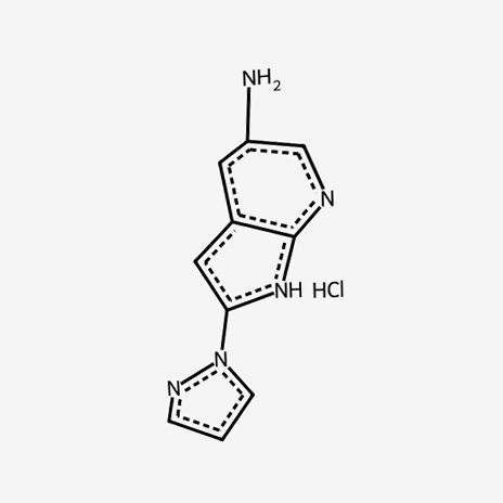 Cl.Nc1cnc2[nH]c(-n3cccn3)cc2c1